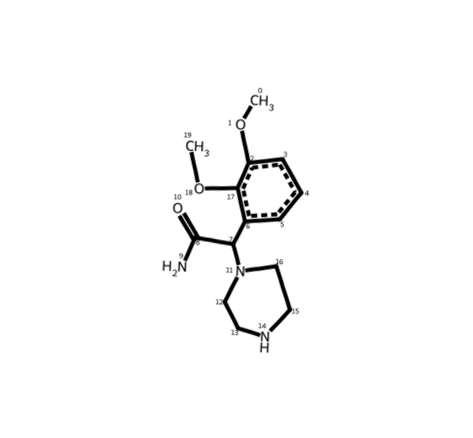 COc1cccc(C(C(N)=O)N2CCNCC2)c1OC